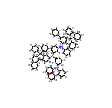 c1ccc(-c2cc(N(c3ccccc3)c3cccc(N(c4cccc(N(c5ccccc5)c5ccccc5-c5ccccc5)c4)c4ccc5c(c4)C(c4ccccc4)(c4ccccc4)c4ccc6ccccc6c4-5)c3)c3c(c2)C(c2ccccc2)(c2ccccc2)c2ccccc2-3)cc1